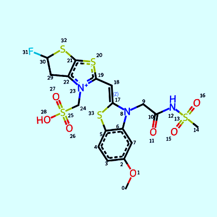 COc1ccc2c(c1)N(CC(=O)NS(C)(=O)=O)/C(=C/c1sc3c([n+]1CS(=O)(=O)O)CC(F)S3)S2